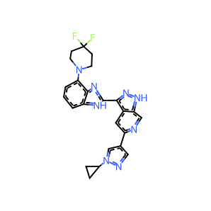 FC1(F)CCN(c2cccc3[nH]c(-c4n[nH]c5cnc(-c6cnn(C7CC7)c6)cc45)nc23)CC1